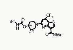 CNC(=O)c1csc2c(C(F)(F)F)cc(N3CC[C@H](OC(=O)NC(C)C)[C@@H](F)C3)nc12